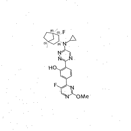 COc1ncc(F)c(-c2ccc(-c3ncc(N(C4CC4)[C@@H]4C[C@@]5(C)CC[C@](C)(C5)[C@@H]4F)nn3)c(O)c2)n1